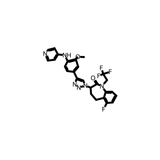 COc1cc(-c2cn(C3CCc4c(F)cccc4N(CC(F)(F)F)C3=O)nn2)ccc1Nc1ccncc1